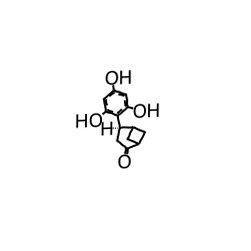 O=C1C[C@@H](c2c(O)cc(O)cc2O)C2CC1C2